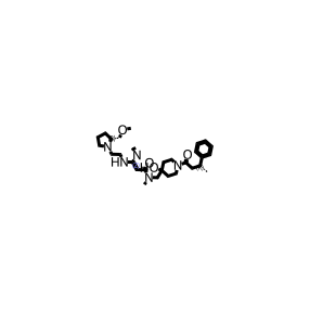 C=N/C(=C\C(=O)N(C)CC1(O)CCN(C(=O)C[C@@H](C)c2ccccc2)CC1)NCCN1CCC[C@@H]1COC